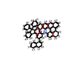 c1ccc(-c2ccc(-c3cccc4ccccc34)cc2N(c2ccccc2-c2ccc3c(c2)C(c2ccccc2)(c2ccccc2)c2ccccc2-3)c2ccccc2-c2cccc3cccc(C4CCCCC4)c23)cc1